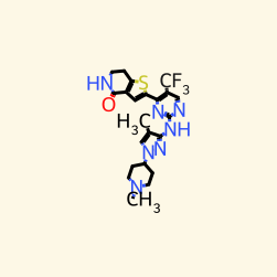 Cc1cn(C2CCN(C)CC2)nc1Nc1ncc(C(F)(F)F)c(-c2cc3c(s2)CCNC3=O)n1